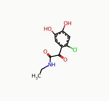 CCNC(=O)C(=O)c1cc(O)c(O)cc1Cl